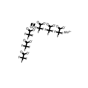 O=C([O-])C(F)(F)F.O=C([O-])C(F)(F)F.O=C([O-])C(F)(F)F.O=C([O-])C(F)(F)F.O=C([O-])C(F)(F)F.O=C([O-])C(F)(F)F.[C]=O.[C]=O.[Mo+6]